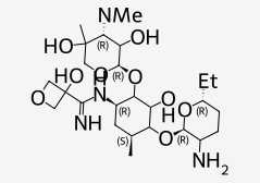 CC[C@@H]1CCC(N)[C@@H](OC2C(O)C(O[C@H]3OCC(C)(O)[C@H](NC)C3O)[C@H](NC(=N)C3(O)COC3)C[C@@H]2C)O1